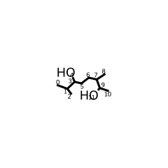 CC(C)C(O)CCC(C)C(C)O